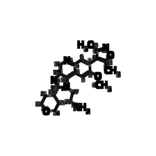 COc1cc2c(cc1-c1c(C)noc1C)ncc1nc(C3CCOCC3)n(CCN)c12